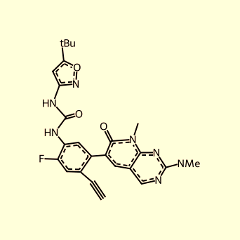 C#Cc1cc(F)c(NC(=O)Nc2cc(C(C)(C)C)on2)cc1-c1cc2cnc(NC)nc2n(C)c1=O